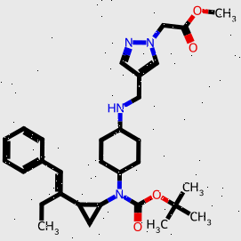 CCC(=Cc1ccccc1)C1CC1N(C(=O)OC(C)(C)C)C1CCC(NCc2cnn(CC(=O)OC)c2)CC1